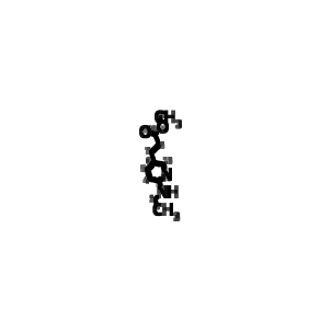 CCNc1ccc(C=CC(=O)OC)cn1